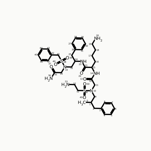 CC(Cc1ccccc1)CN(CC(=O)NC(CCCCN)C(=O)NC(Cc1ccccc1)CN(CC(N)=O)S(=O)(=O)Cc1ccccc1)S(=O)(=O)CCN